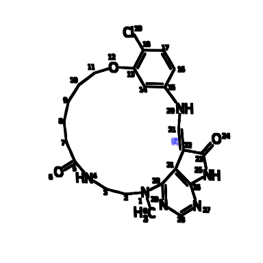 CN1CCNC(=O)CCCCCOc2cc(ccc2Cl)N/C=C2\C(=O)Nc3ncnc1c32